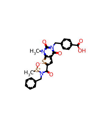 Cn1c(=O)n(Cc2ccc(C(=O)O)cc2)c(=O)c2cc(C(=O)N(Cc3ccccc3)[S+](C)[O-])sc21